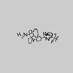 NC(=O)C1(c2ccccc2)CCCN1c1ccc(-c2noc(C(F)(F)F)n2)cc1